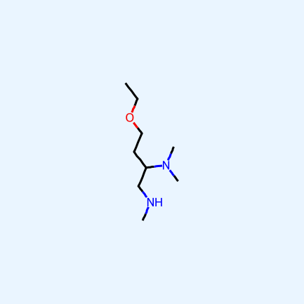 CCOCCC(CNC)N(C)C